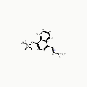 CC(C)(C)[Si](C)(C)Oc1ccc(/C=C/C(=O)O)c2cccnc12